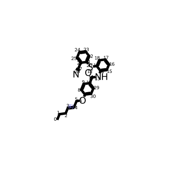 CCC/C=C/COc1ccc(C(=O)Nc2ccccc2Sc2ccccc2C#N)cc1